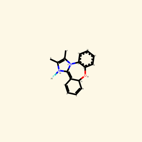 CC1=C(C)N2C(=C3C=CC=CC3Oc3ccccc32)N1F